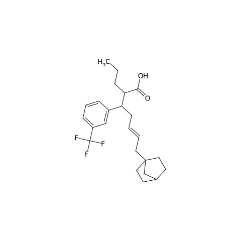 CCCC(C(=O)O)C(CC=CCC12CCC(CC1)C2)c1cccc(C(F)(F)F)c1